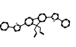 C=CCC1(CC=C)c2cc(-c3ccc(-c4ccccc4)s3)ccc2-c2ccc(-c3ccc(-c4ccccc4)s3)cc21